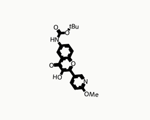 COc1ccc(-c2oc3ccc(NC(=O)OC(C)(C)C)cc3c(=O)c2O)cn1